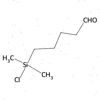 C[Si](C)(Cl)CCCCC=O